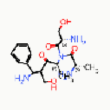 C[C@H](N)C(=O)N(C(=O)[C@@H](N)CO)[C@@H](C)C(=O)[C](CO)C(N)c1ccccc1